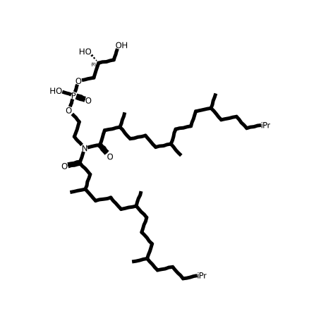 CC(C)CCCC(C)CCCC(C)CCCC(C)CC(=O)N(CCOP(=O)(O)OC[C@H](O)CO)C(=O)CC(C)CCCC(C)CCCC(C)CCCC(C)C